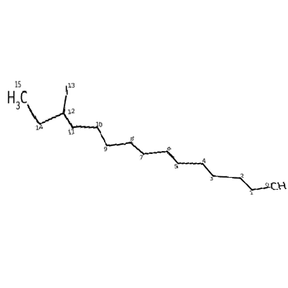 CCCCCCCCCCCCC(I)CC